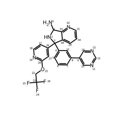 NC1NC(c2cccc(-c3cncnc3)c2)(c2ccnc(OCC(F)(F)F)c2)c2cccnc21